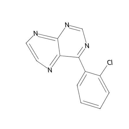 Clc1ccccc1-c1ncnc2nccnc12